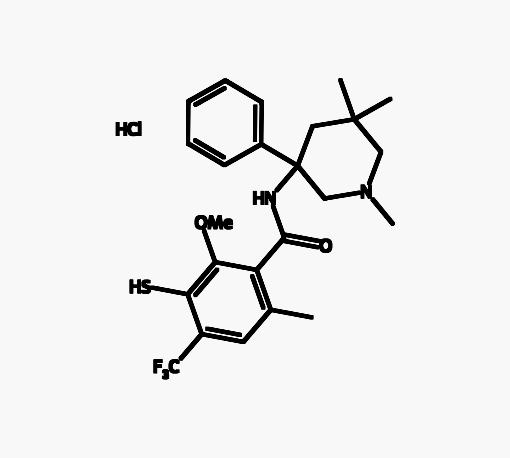 COc1c(S)c(C(F)(F)F)cc(C)c1C(=O)NC1(c2ccccc2)CN(C)CC(C)(C)C1.Cl